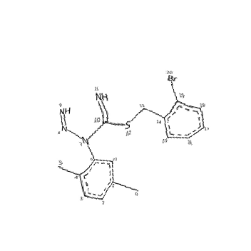 Cc1ccc(C)c(N(N=N)C(=N)SCc2ccccc2Br)c1